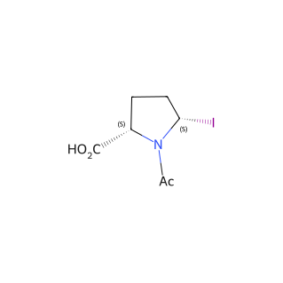 CC(=O)N1[C@@H](I)CC[C@H]1C(=O)O